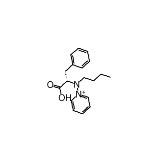 CCCCN([C@@H](Cc1ccccc1)C(=O)O)[n+]1ccccc1